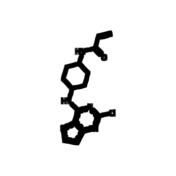 C=CC(=O)NC1CCC(Nc2nc(Cl)nc3ccsc23)CC1